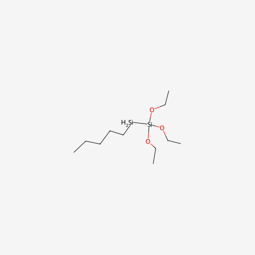 CCCCC[SiH2][Si](OCC)(OCC)OCC